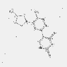 Cc1nnc(-c2c[nH]c(=O)[nH]c2=O)cc1N1CCC(C(F)(F)F)C1